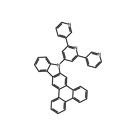 c1cncc(-c2cc(-n3c4ccccc4c4cc5c6ccccc6c6ccccc6c5cc43)cc(-c3cccnc3)n2)c1